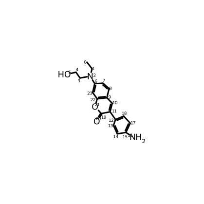 CCN(CCO)c1ccc2cc(-c3ccc(N)cc3)c(=O)oc2c1